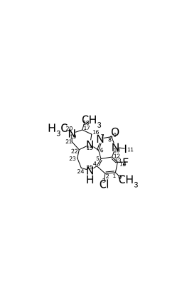 Cc1c(Cl)c2c3c(nc(=O)n(I)c3c1F)N1CC(C)N(C)CC1CCN2